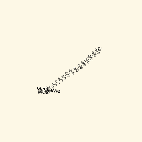 CO[Si](CCCCCCCCCCCCCCCCCCCCCCCCCCCCCl)(OC)OC